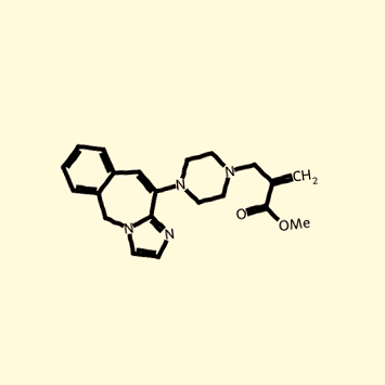 C=C(CN1CCN(C2=Cc3ccccc3Cn3ccnc32)CC1)C(=O)OC